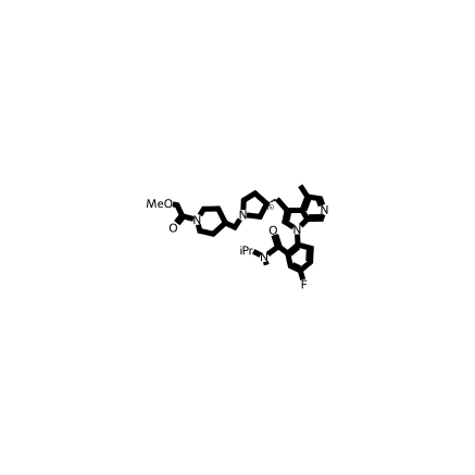 COCC(=O)N1CCC(CN2CC[C@H](Cc3cn(-c4ccc(F)cc4C(=O)N(C)C(C)C)c4cncc(C)c34)C2)CC1